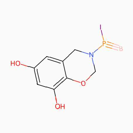 B#P(I)N1COc2c(O)cc(O)cc2C1